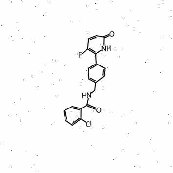 O=C(NCc1ccc(-c2[nH]c(=O)ccc2F)cc1)c1ccccc1Cl